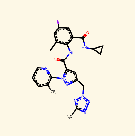 Cc1cc(I)cc(C(=O)NC2CC2)c1NC(=O)c1cc(Cn2nnc(C(F)(F)F)n2)nn1-c1ncccc1C(F)(F)F